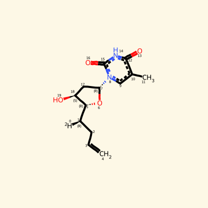 [2H][C@H](CC=C)[C@H]1O[C@@H](n2cc(C)c(=O)[nH]c2=O)C[C@@H]1O